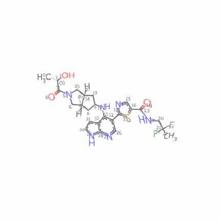 C[C@H](O)C(=O)N1C[C@H]2CC(Nc3c(-c4ncc(C(=O)NCC(C)(F)F)s4)cnc4[nH]ccc34)C[C@H]2C1